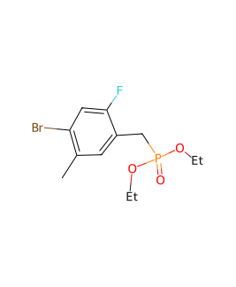 CCOP(=O)(Cc1cc(C)c(Br)cc1F)OCC